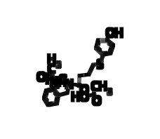 CC(=O)Nc1ccccc1CN(C)C(=O)CCCSc1ccc(O)cc1.CC(=O)O